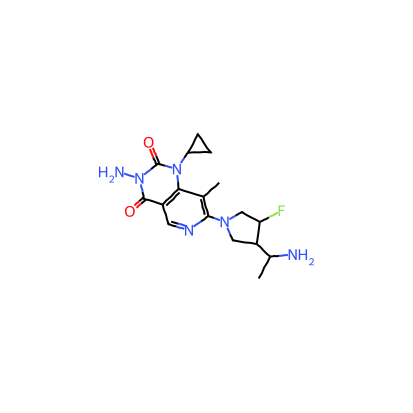 Cc1c(N2CC(F)C(C(C)N)C2)ncc2c(=O)n(N)c(=O)n(C3CC3)c12